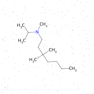 CCCCC(C)(C)CCN(C)C(C)C